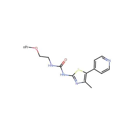 CCCOCCNC(=O)Nc1nc(C)c(-c2ccncc2)s1